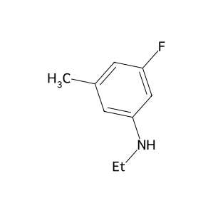 CCNc1cc(C)cc(F)c1